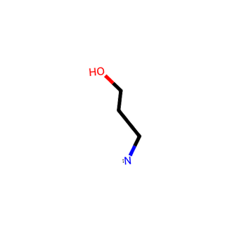 [N]CCCO